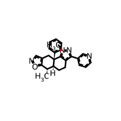 C[C@@H]1c2oncc2C[C@]2(c3ccccc3)c3c(c(-c4cccnc4)nn3C)CC[C@@H]12